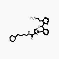 O=C(O)CCc1ccccc1C(=O)c1ccccc1-c1nc(C(=O)NCCCCC2CCCCC2)co1